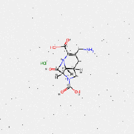 Cl.NCC1=C(C(=O)O)N2C(=O)[C@@H]3[C@H]2[C@H](C1)CN3C(=O)O